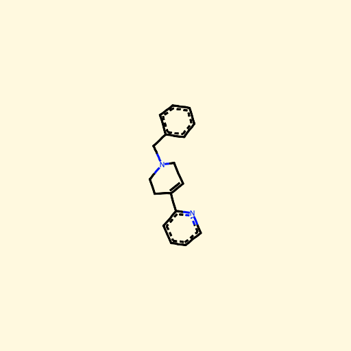 C1=C(c2ccccn2)CCN(Cc2ccccc2)C1